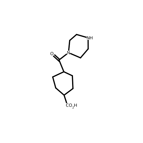 O=C(O)C1CCC(C(=O)N2CCNCC2)CC1